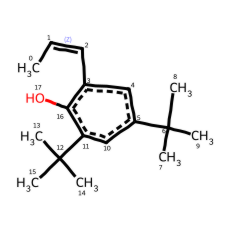 C/C=C\c1cc(C(C)(C)C)cc(C(C)(C)C)c1O